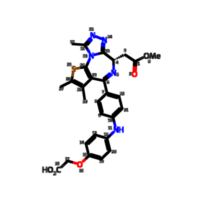 COC(=O)C[C@@H]1N=C(c2ccc(Nc3ccc(OCC(=O)O)cc3)cc2)c2c(sc(C)c2C)-n2c(C)nnc21